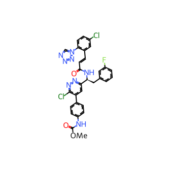 COC(=O)Nc1ccc(-c2cc([C@H](Cc3cccc(F)c3)NC(=O)/C=C/c3cc(Cl)ccc3-n3cnnn3)nnc2Cl)cc1